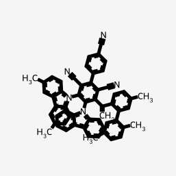 C=C(c1ccc(C)cc1-c1cc(C)ccc1C)c1c(C#N)c(-c2ccc(C#N)cc2)c(C#N)c(-n2c3ccc(C)cc3c3cc(C)ccc32)c1-n1c2ccccc2c2ccccc21